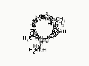 CC(C)C[C@@H]1NC(=O)CNC(=O)[C@@H]2CCCN2C(=O)[C@@H]2CCCN2C(=O)[C@H](CC(C)C)NC(=O)[C@H](CC(=O)O)NC(=O)CNC(=O)[C@H](CCCNC(=N)N)NC1=O